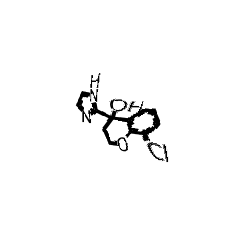 OC1(c2ncc[nH]2)CCOc2c(Cl)cccc21